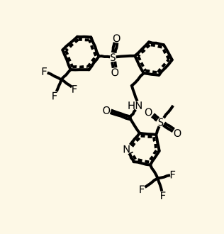 CS(=O)(=O)c1cc(C(F)(F)F)cnc1C(=O)NCc1ccccc1S(=O)(=O)c1cccc(C(F)(F)F)c1